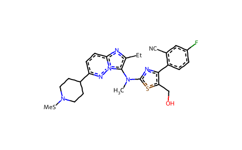 CCc1nc2ccc(C3CCN(SC)CC3)nn2c1N(C)c1nc(-c2ccc(F)cc2C#N)c(CO)s1